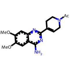 COc1cc2nc(C3=CCN(C(C)=O)CC3)nc(N)c2cc1OC